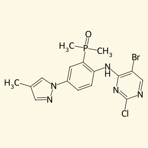 Cc1cnn(-c2ccc(Nc3nc(Cl)ncc3Br)c(P(C)(C)=O)c2)c1